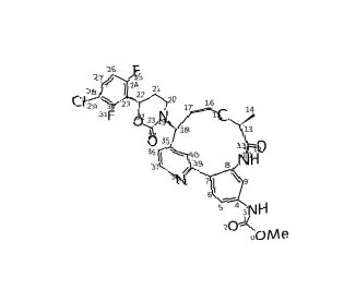 COC(=O)Nc1ccc2c(c1)NC(=O)[C@H](C)CCC[C@H](N1CC[C@H](c3c(F)ccc(Cl)c3F)OC1=O)c1ccnc-2c1